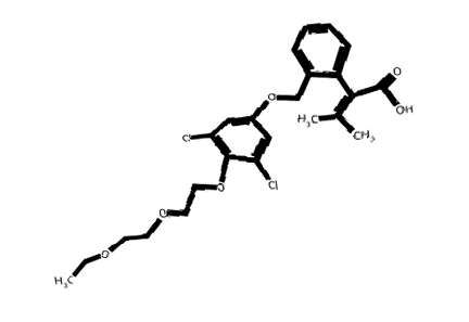 CCOCCOCCOc1c(Cl)cc(OCc2ccccc2C(C(=O)O)=C(C)C)cc1Cl